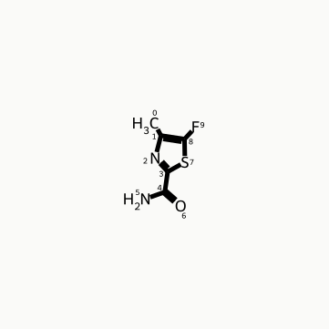 Cc1nc(C(N)=O)sc1F